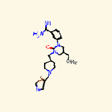 COCC1CN(CC2CCN(Cc3cncs3)CC2)C(=O)N(c2cccc(C(=N)N)c2)C1